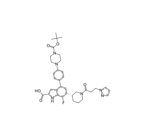 CC(C)(C)OC(=O)N1CCN(c2ccc(-c3cc([C@H]4CCCN(C(=O)CCn5cccn5)C4)c(F)c4[nH]c(C(=O)O)cc34)cc2)CC1